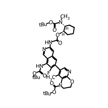 Cc1c(-c2cc3cc(NC(=O)O[C@@H]4CCCC[C@H]4N(C)C(=O)OC(C)(C)C)ncc3c(NC(=O)OC(C)(C)C)c2F)cnc2c1N(C(=O)OC(C)(C)C)CCO2